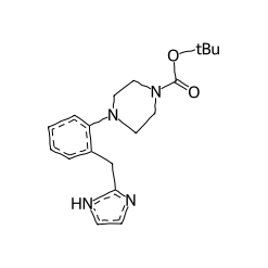 CC(C)(C)OC(=O)N1CCN(c2ccccc2Cc2ncc[nH]2)CC1